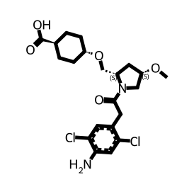 CO[C@H]1C[C@@H](CO[C@H]2CC[C@H](C(=O)O)CC2)N(C(=O)Cc2cc(Cl)c(N)cc2Cl)C1